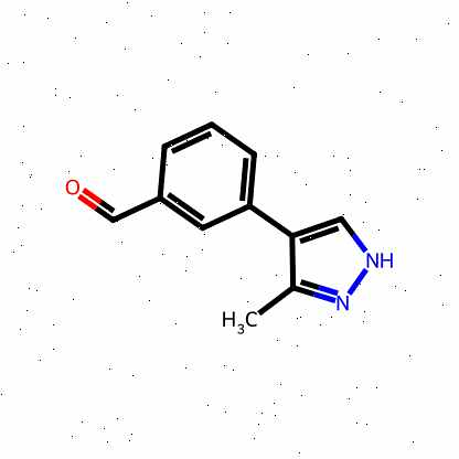 Cc1n[nH]cc1-c1cccc(C=O)c1